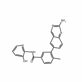 Cc1ccc(C(=O)Nc2ncccc2O)cc1-c1ccc2nc(N)ncc2c1